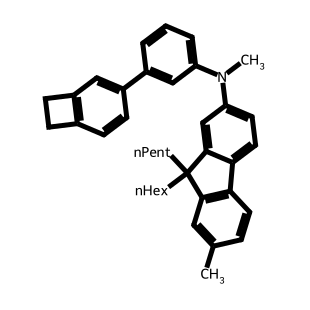 CCCCCCC1(CCCCC)c2cc(C)ccc2-c2ccc(N(C)c3cccc(-c4ccc5c(c4)CC5)c3)cc21